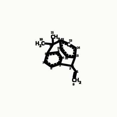 C=C[C]1c2ccc(cc2)C(C)(C)c2ccc1cc2